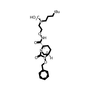 CC(C)(C)CCCN(CCONC(=O)[C@@H]1CC[C@@H]2CN1C(=O)N2OCc1ccccc1)C(=O)O